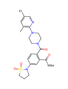 CCc1cnc(N2CCN(C(=O)c3ccc(N4CCCS4(=O)=O)cc3C(=O)NC)CC2)c(C)c1